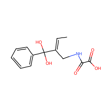 CC=C(CNC(=O)C(=O)O)C(O)(O)c1ccccc1